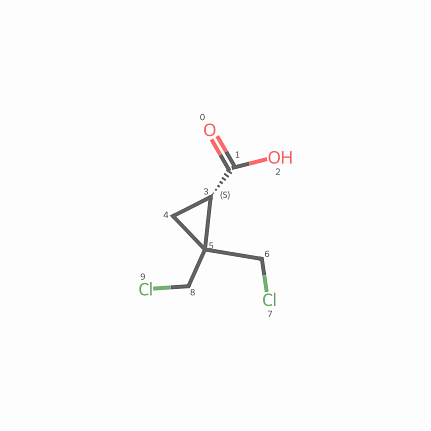 O=C(O)[C@H]1CC1(CCl)CCl